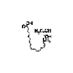 CC(O)CO.CC/C=C\C/C=C\C/C=C\CCCCCCCC(=O)O